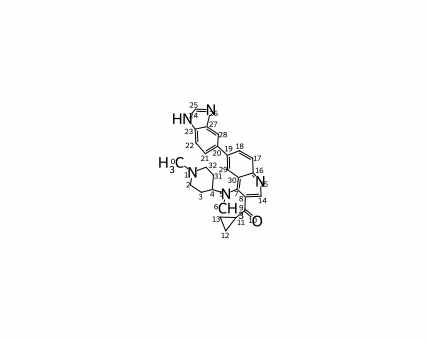 CN1CCC(N(C)c2c(C(=O)C3CC3)cnc3ccc(-c4ccc5[nH]cnc5c4)cc23)CC1